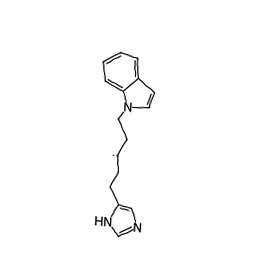 [CH](CCc1cnc[nH]1)CCn1ccc2ccccc21